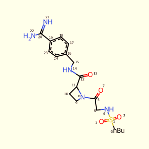 CCCCS(=O)(=O)NCC(=O)N1CCC1C(=O)NCc1ccc(C(=N)N)cc1